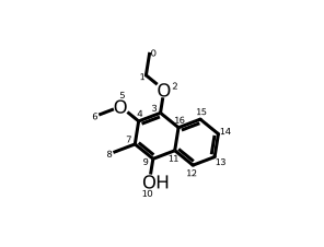 CCOc1c(OC)c(C)c(O)c2ccccc12